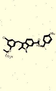 CCCCc1ccc([C@H](C)NC(=O)c2ccc3c(Cc4cc(Cl)cc(O[C@@H](C)C(=O)O)c4)c(C)n(C)c3c2)cc1